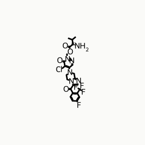 CC(C)[C@H](N)C(=O)OCn1ncc(N2CCn3c(C(=O)c4ccc(F)cc4C(F)(F)F)cnc3C2)c(Cl)c1=O